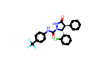 O=C1NN(C(=O)Nc2ccc(C(F)(F)F)cc2)[C@@H](c2ccccc2Cl)[C@@H]1c1ccccc1